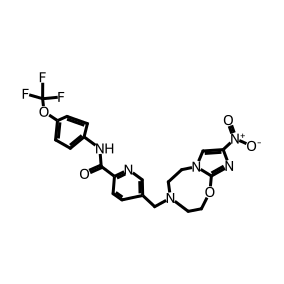 O=C(Nc1ccc(OC(F)(F)F)cc1)c1ccc(CN2CCOc3nc([N+](=O)[O-])cn3CC2)cn1